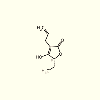 C=CCC1=C(O)[C@@H](CC)OC1=O